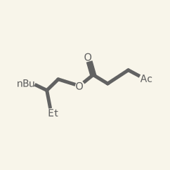 CCCCC(CC)COC(=O)CCC(C)=O